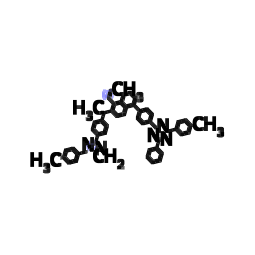 C=N/C(=N\Cc1ccc(C)cc1)c1ccc(C(C)c2ccc3c(-c4ccc(-c5nc(-c6ccccc6)nc(-c6ccc(C)cc6)n5)cc4)cccc3c2/C=C\C)cc1